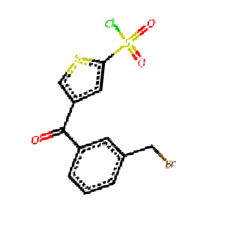 O=C(c1cccc(CBr)c1)c1csc(S(=O)(=O)Cl)c1